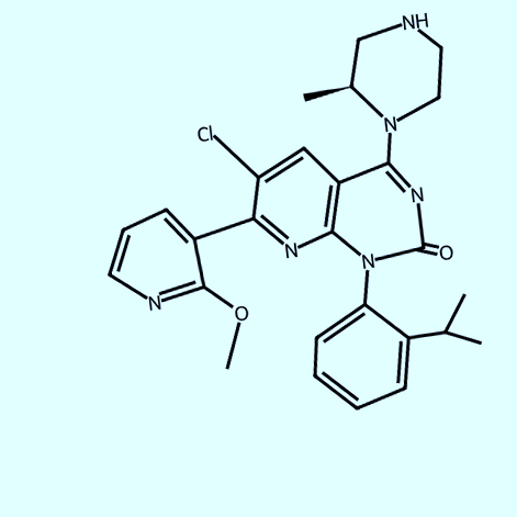 COc1ncccc1-c1nc2c(cc1Cl)c(N1CCNC[C@@H]1C)nc(=O)n2-c1ccccc1C(C)C